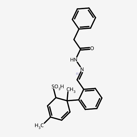 CC1=CC(S(=O)(=O)O)C(C)(c2ccccc2/C=N/NC(=O)Cc2ccccc2)C=C1